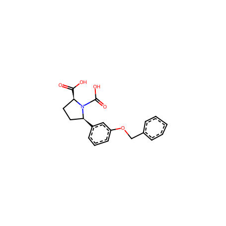 O=C(O)[C@@H]1CC[C@H](c2cccc(OCc3ccccc3)c2)N1C(=O)O